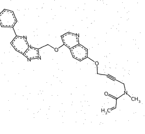 C=CC(=O)N(C)CC#CCOc1ccc2c(OCc3nnc4ccc(-c5ccccc5)nn34)ccnc2c1